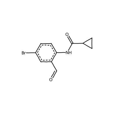 O=Cc1cc(Br)ccc1NC(=O)C1CC1